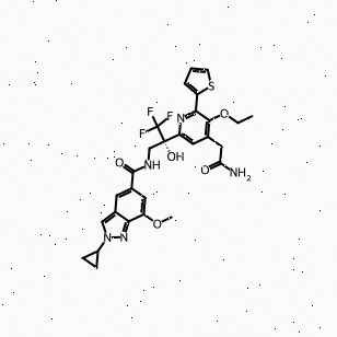 CCOc1c(CC(N)=O)cc([C@@](O)(CNC(=O)c2cc(OC)c3nn(C4CC4)cc3c2)C(F)(F)F)nc1-c1cccs1